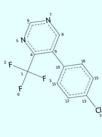 FC(F)(F)c1n[c]ncc1-c1ccc(Cl)cc1